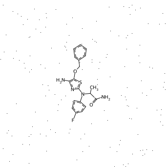 CC(C(N)=O)N(c1ccc(F)cc1)c1nc(N)c(OCc2ccccc2)s1